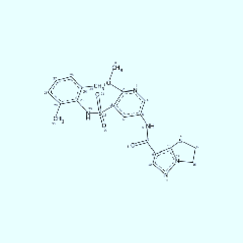 COc1ncc(NC(=O)c2cnn3c2SCC3)cc1S(=O)(=O)Nc1c(C)cccc1C